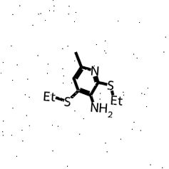 CCSc1cc(C)nc(SCC)c1N